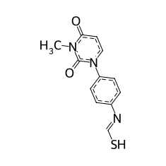 Cn1c(=O)ccn(-c2ccc(N=CS)cc2)c1=O